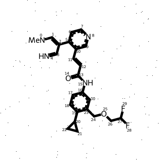 CN/C=C(\C=N)c1ccncc1/C=C/C(=O)Nc1ccc(C2CC2)c(COCC(F)F)c1